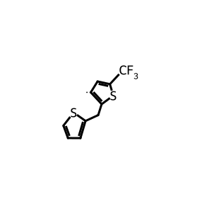 FC(F)(F)c1c[c]c(Cc2cccs2)s1